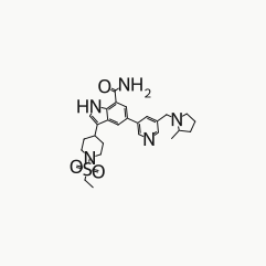 CCS(=O)(=O)N1CCC(c2c[nH]c3c(C(N)=O)cc(-c4cncc(CN5CCCC5C)c4)cc23)CC1